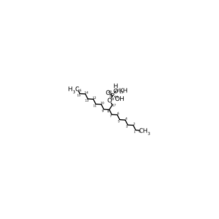 CCCCCCCCC(CCCCCCCC)COP(=O)(O)O.[KH]